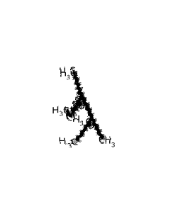 CCCCCCCCCCC(CCCCCCCC(CCCCCCCC)OC(=O)CCCCCCC)OC(=O)OCCCN(C)C